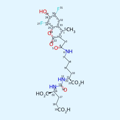 Cc1c(CC(=O)NCCCC[C@H](NC(=O)N[C@@H](CCC(=O)O)C(=O)O)C(=O)O)c(=O)oc2c(F)c(O)c(F)cc12